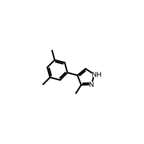 Cc1cc(C)cc(-c2c[nH]nc2C)c1